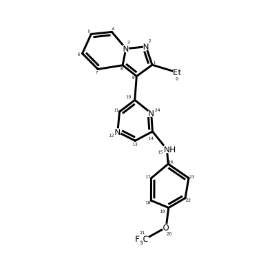 CCc1nn2ccccc2c1-c1cncc(Nc2ccc(OC(F)(F)F)cc2)n1